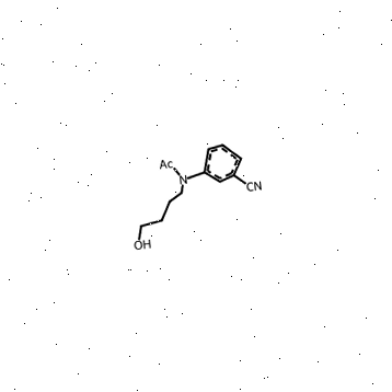 CC(=O)N(CCCCO)c1cccc(C#N)c1